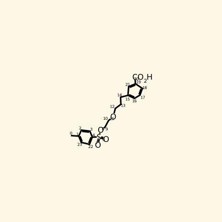 Cc1ccc(S(=O)(=O)OCCOCCCc2cccc(C(=O)O)c2)cc1